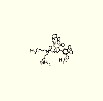 CCCCN(CCCCN)C(=O)CN1C[C@H](c2cc(OC)c3c(c2)OCO3)[C@@H](C(=O)O)[C@@H]1CCCN1CCCC1=O